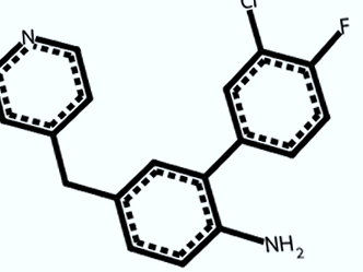 Nc1ccc(Cc2ccncc2)cc1-c1ccc(F)c(Cl)c1